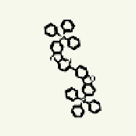 c1ccc([Si](c2ccccc2)(c2ccccc2)c2ccc3oc4ccc(-c5ccc6oc7ccc([Si](c8ccccc8)(c8ccccc8)c8ccccc8)cc7c6n5)cc4c3c2)cc1